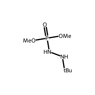 COP(=O)(NNC(C)(C)C)OC